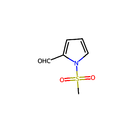 CS(=O)(=O)n1cccc1C=O